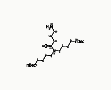 CCCCCCCCCCCCCCN(CCCCCCCCCCCCCC)C(=O)CCCN